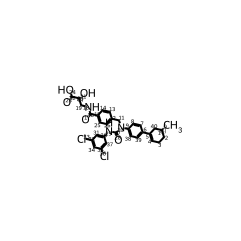 C[C@H]1CCC=C(c2ccc(N(Cc3ccc(C(=O)NC[C@@H](O)C(=O)O)cc3)C(=O)Nc3cc(Cl)cc(Cl)c3)cc2)C1